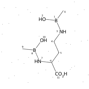 CB(O)NCCC(NB(C)O)C(=O)O